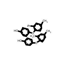 Cc1ccc(Oc2ccc(O)cc2)c(C(C)C)c1.Cc1ccc(Oc2ccc(O)cc2)c(C)c1